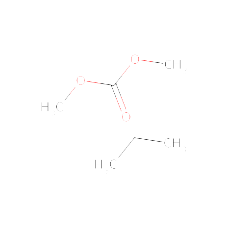 CCC.COC(=O)OC